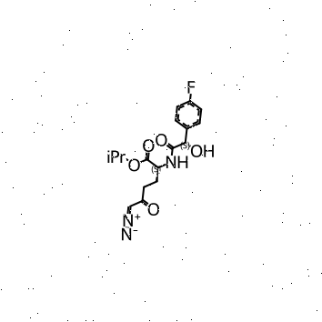 CC(C)OC(=O)[C@H](CCC(=O)C=[N+]=[N-])NC(=O)[C@@H](O)c1ccc(F)cc1